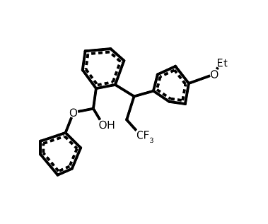 CCOc1ccc(C(CC(F)(F)F)c2ccccc2C(O)Oc2ccccc2)cc1